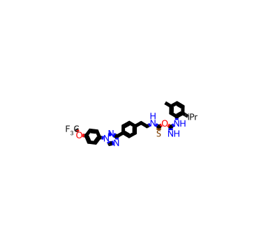 Cc1ccc(C(C)C)c(NC(=N)OC(=S)NCCc2ccc(-c3ncn(-c4ccc(OC(F)(F)F)cc4)n3)cc2)c1